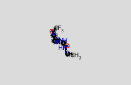 C=C[C@H]1CCCN(CCNC(=O)c2ccc(Nc3nc4c(C5=CCN(C(=O)CCC(F)(F)F)CC5)cccn4n3)cc2)C1